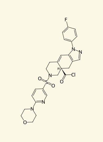 O=C(Cl)[C@]12Cc3cnn(-c4ccc(F)cc4)c3C=C1CCN(S(=O)(=O)c1ccc(N3CCOCC3)nc1)C2